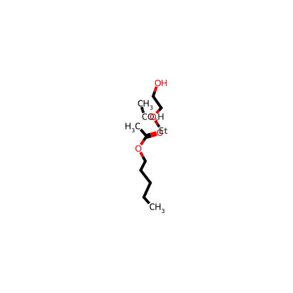 CC(=O)O.CCCCCOC(C)=O.CCOCCO